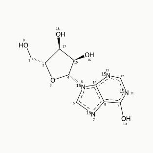 OC[C@H]1O[C@@H]([15n]2c[15n]c3c(O)[15n]c[15n]c32)[C@H](O)[C@@H]1O